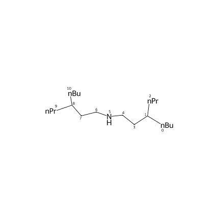 CCCCC(CCC)CCNCCC(CCC)CCCC